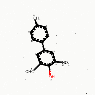 Cc1ccc(-c2cc(C=O)c(O)c([N+](=O)[O-])c2)cc1